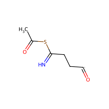 CC(=O)SC(=N)CC[C]=O